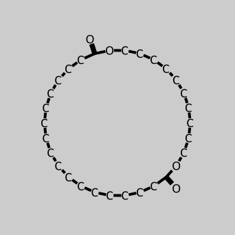 O=C1CCCCCCCCCCCCCCCCC(=O)OCCCCCCCCCCO1